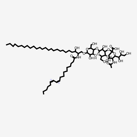 CCCCC/C=C\C=C/CCCCCCCCC(=O)NC(COC1OC(CO)C(OC2OC(CO)C(O)C(OC3(C(=O)O)CC(O)C(NC(C)=O)C(C(O)C(O)CO)O3)C2O)C(O)C1O)C(O)CCCCCCCCCCCCCCCCCCCCCCC